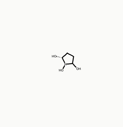 OC1CC[C@@H](O)N1O